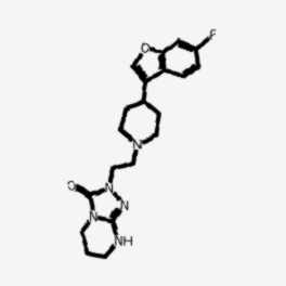 O=c1n(CCN2CCC(c3coc4cc(F)ccc34)CC2)nc2n1CCCN2